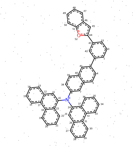 c1cc(-c2ccc3cc(N(c4cc5ccccc5c5ccccc45)c4cc5ccccc5c5ccccc45)ccc3c2)cc(-c2cc3ccccc3o2)c1